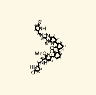 COc1nc(-c2cccc(-c3cccc(-c4ccc5nc(CNCC6CCC(=O)N6)n(C)c5n4)c3Cl)c2Cl)ccc1CNCC1CCC(=O)N1